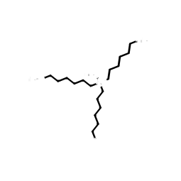 CCCCCCCCCCCCCCCC[N+](CCCC)(CCCCCCCCCCCCCCCC)CCCCCCCCCCCCCCCC